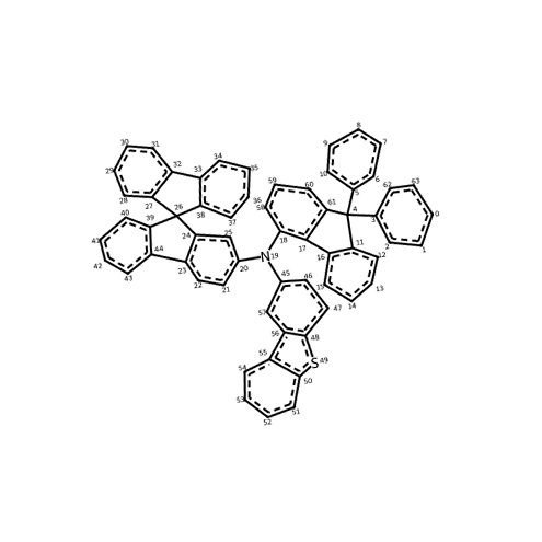 c1ccc(C2(c3ccccc3)c3ccccc3-c3c(N(c4ccc5c(c4)C4(c6ccccc6-c6ccccc64)c4ccccc4-5)c4ccc5sc6ccccc6c5c4)cccc32)cc1